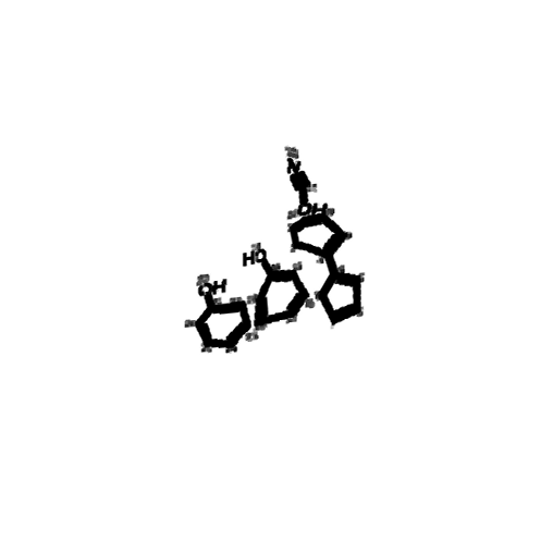 C1=CCC(C2=CC=CC2)=C1.N#CO.Oc1ccccc1.Oc1ccccc1